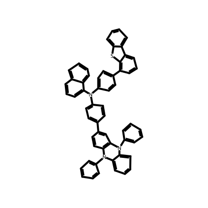 c1ccc(N2c3ccccc3N(c3ccccc3)c3cc(-c4ccc(N(c5ccc(-c6cccc7c6sc6ccccc67)cc5)c5cccc6ccccc56)cc4)ccc32)cc1